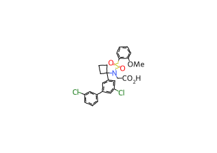 COc1ccccc1S(=O)(=O)N(CC(=O)O)C1(c2cc(Cl)cc(-c3cccc(Cl)c3)c2)CCC1